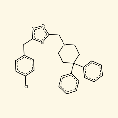 Clc1ccc(Cc2noc(CN3CCC(c4ccccc4)(c4ccccc4)CC3)n2)cc1